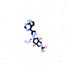 CCC(=O)N1C[C@@H]2C[C@](CN)(n3cc(-c4ncnc5[nH]ccc45)cn3)C[C@@H]2C1